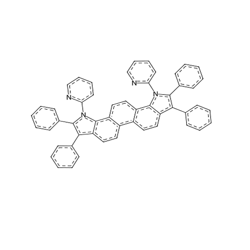 c1ccc(-c2c(-c3ccccc3)n(-c3ccccn3)c3c2ccc2c4ccc5c(-c6ccccc6)c(-c6ccccc6)n(-c6ccccn6)c5c4ccc23)cc1